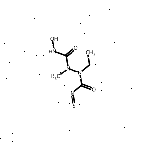 CCN(C(=O)N=S)N(C)C(=O)NO